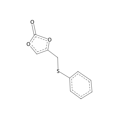 O=c1occ(CSc2ccccc2)o1